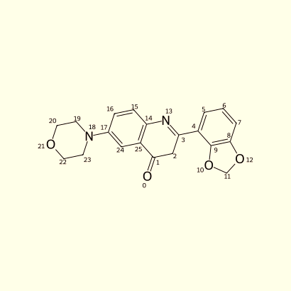 O=C1CC(c2cccc3c2OCO3)=Nc2ccc(N3CCOCC3)cc21